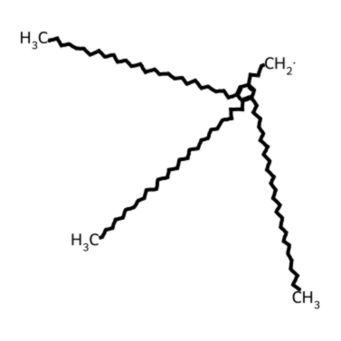 [CH2]CCCc1cc(CCCCCCCCCCCCCCCCCCCCCCCCCCCC)c(CCCCCCCCCCCCCCCCCCCCCCCCCCCC)c(CCCCCCCCCCCCCCCCCCCCCCCCCCCC)c1